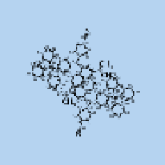 CC(C)c1cc(N(c2ccc(C#N)cc2)c2ccc([Si](c3ccccc3)(c3ccccc3)c3ccccc3)cc2)c2ccc3c(C(C)C)cc(N(c4ccc(C#N)cc4)c4ccc([Si](c5ccccc5)(c5ccccc5)c5ccccc5)cc4)c4ccc1c2c34